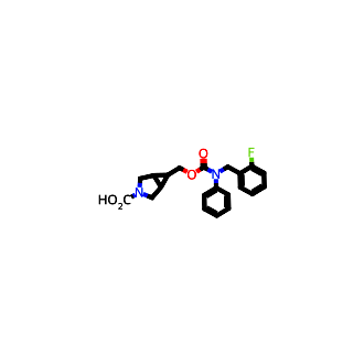 O=C(O)N1CC2C(COC(=O)N(Cc3ccccc3F)c3ccccc3)C2C1